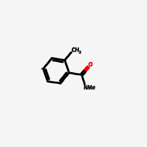 CNC(=O)c1cc[c]cc1C